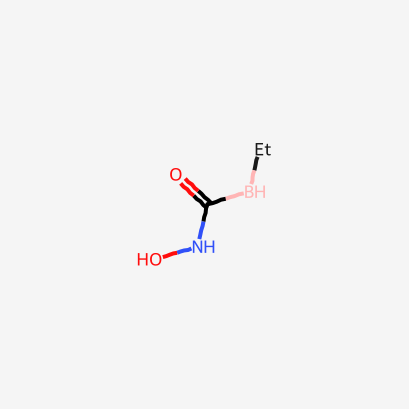 CCBC(=O)NO